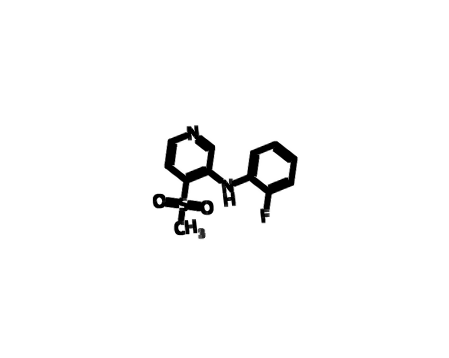 CS(=O)(=O)c1ccncc1Nc1ccccc1F